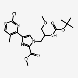 COCC(Cn1cc(-c2nc(Cl)ncc2C)nc1C(=O)OC)NC(=O)OC(C)(C)C